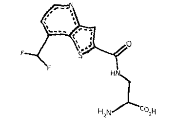 NC(CNC(=O)c1cc2nccc(C(F)F)c2s1)C(=O)O